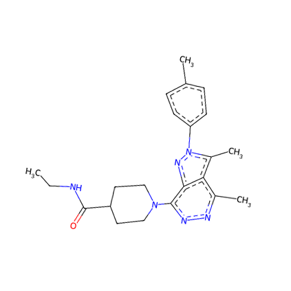 CCNC(=O)C1CCN(c2nnc(C)c3c(C)n(-c4ccc(C)cc4)nc23)CC1